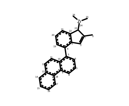 CC1=Cc2c(-c3cccc4c3ccc3ccccc34)cccc2[CH]1[Zr]([CH3])[CH3]